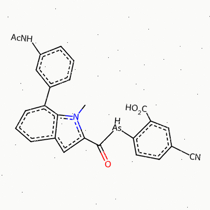 CC(=O)Nc1cccc(-c2cccc3cc(C(=O)[AsH]c4ccc(C#N)cc4C(=O)O)n(C)c23)c1